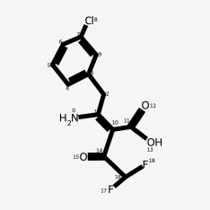 NC(Cc1cccc(Cl)c1)=C(C(=O)O)C(=O)C(F)F